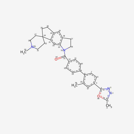 Cc1nnc(-c2ccc(-c3ccc(C(=O)N4CCc5cc6c(cc54)C4(CC6)CCN(C)CC4)cc3)c(C)c2)o1